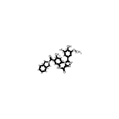 COc1cc(-c2nnc3c(=O)[nH]c4cc(C(=O)N5Cc6ccccc6C5)c(C)cc4n23)cc(F)c1O